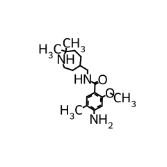 COc1cc(N)c(C)cc1C(=O)NCC1CCNC(C)(C)CC1